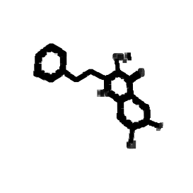 O=C(O)c1c(CCc2ccccc2)[nH]c2cc(Cl)c(F)cc2c1=O